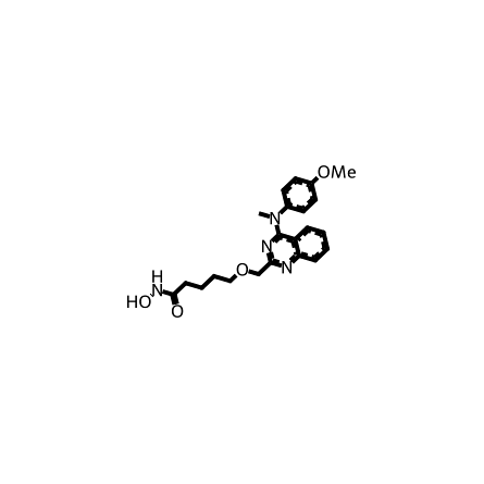 COc1ccc(N(C)c2nc(COCCCCC(=O)NO)nc3ccccc23)cc1